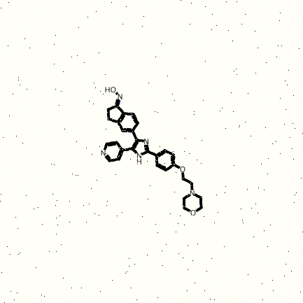 O/N=C1\CCc2cc(-c3nc(-c4ccc(OCCN5CCOCC5)cc4)[nH]c3-c3ccncc3)ccc21